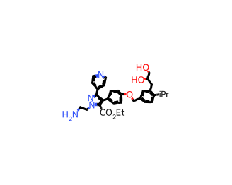 CCOC(=O)c1c(-c2ccc(OCc3ccc(C(C)C)c(CC(O)CO)c3)cc2)c(-c2ccncc2)nn1CCN